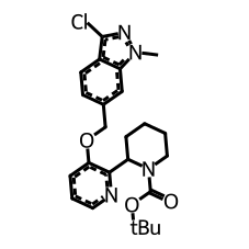 Cn1nc(Cl)c2ccc(COc3cccnc3C3CCCCN3C(=O)OC(C)(C)C)cc21